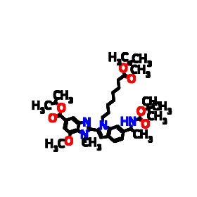 COc1cc(C(=O)OC(C)C)cc2nc(-c3cc4ccc(C(C)NC(=O)OC(C)(C)C)cc4n3CCCCCCCC(=O)OC(C)(C)C)n(C)c12